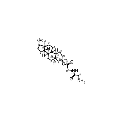 CC(=O)[C@H]1CC[C@H]2[C@@H]3CC[C@H]4C[C@](C)(OC(=O)CNC(=O)CN)CC[C@]4(C)[C@H]3CC[C@]12C